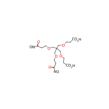 O=NC(=O)CCOCC(COCCC(=O)O)(COCCC(=O)O)COCCC(=O)N=O